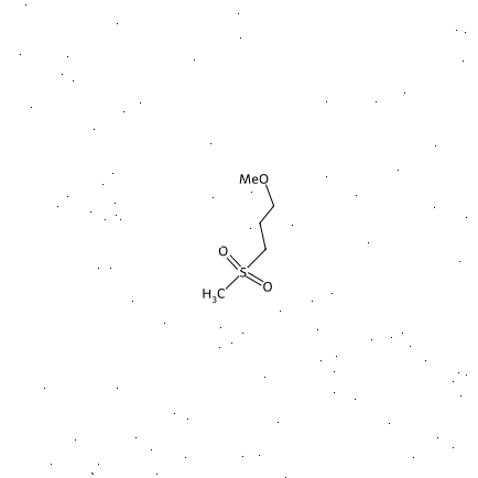 COCCCS(C)(=O)=O